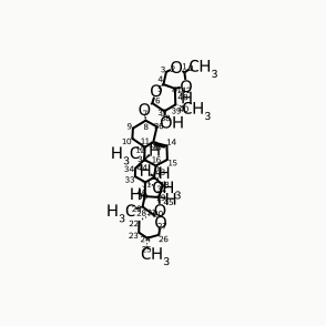 CC1OCC2O[C@@H](O[C@H]3CC[C@@]4(C)C(=CC[C@H]5[C@@H]6C[C@@H]7O[C@]8(CC[C@@H](C)CO8)[C@@H](C)[C@@H]7[C@@]6(C)CC[C@@H]54)C3)C(O)[C@@H](C)[C@@H]2O1